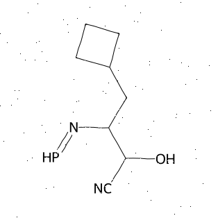 N#CC(O)C(CC1CCC1)N=P